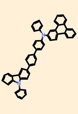 c1ccc(N(c2ccc(-c3ccc(-c4ccc5c(c4)c4ccccc4n5-c4ccccc4)cc3)cc2)c2ccc3c4ccccc4c4ccccc4c3c2)cc1